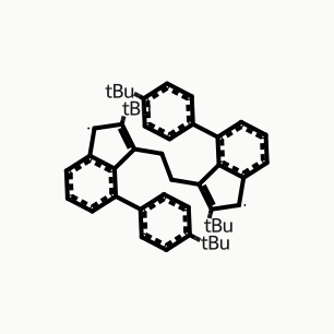 CC(C)(C)C1=C(CCC2=C(C(C)(C)C)[CH]c3cccc(-c4ccc(C(C)(C)C)cc4)c32)c2c(cccc2-c2ccc(C(C)(C)C)cc2)[CH]1